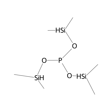 C[SiH](C)OP(O[SiH](C)C)O[SiH](C)C